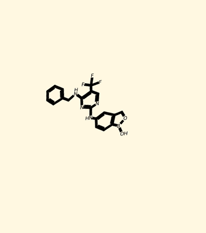 OB1OCc2cc(Nc3ncc(C(F)(F)F)c(NCc4ccccc4)n3)ccc21